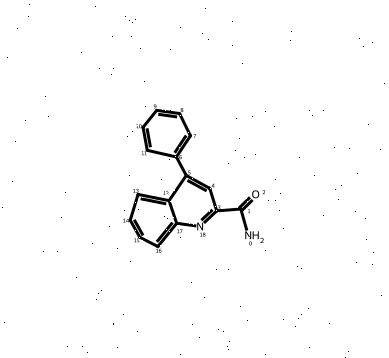 NC(=O)c1cc(-c2ccccc2)c2ccccc2n1